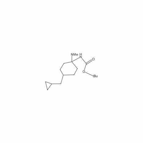 CNC1(NC(=O)OC(C)(C)C)CCC(CC2CC2)CC1